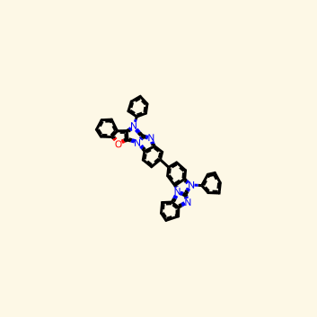 c1ccc(-n2c3ccc(-c4ccc5c(c4)nc4n(-c6ccccc6)c6c7ccccc7oc6n54)cc3n3c4ccccc4nc23)cc1